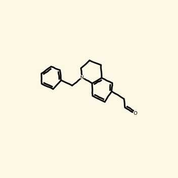 O=CCc1ccc2c(c1)CCCN2Cc1ccccc1